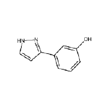 Oc1cccc(-c2cc[nH]n2)c1